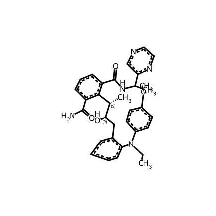 CCN(c1ccc(OC)cc1)c1ccccc1C[C@@H](O)[C@@H](C)c1c(C(N)=O)cccc1C(=O)NC(C)c1cnccn1